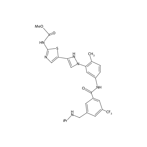 COC(=O)Nc1ncc(-c2cn(-c3cc(NC(=O)c4cc(CNC(C)C)cc(C(F)(F)F)c4)ccc3C)[nH]2)s1